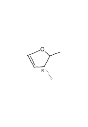 CC1OC=C[C@H]1C